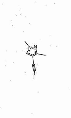 Cc1nn(C)cc1C#CI